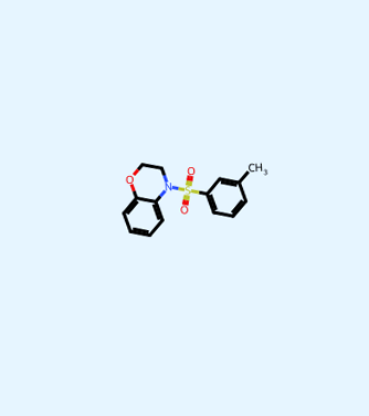 Cc1cccc(S(=O)(=O)N2CCOc3ccccc32)c1